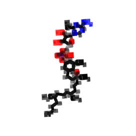 C=C1N=C(N)N=CN1[C@@H]1O[C@H](COP(=O)(O)Oc2cc(C)c3c(c2)CCC(C)(CCCC(C)CCCC(C)CCCC(C)C)O3)[C@H](O)C1O